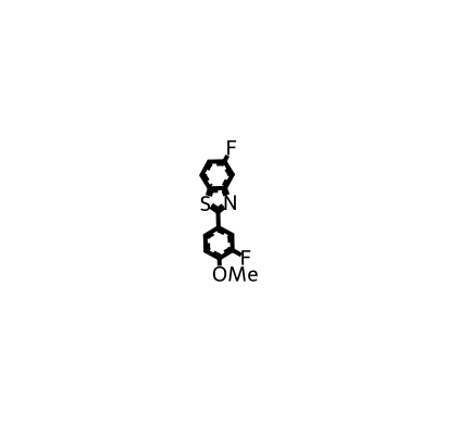 COc1ccc(-c2nc3cc(F)ccc3s2)cc1F